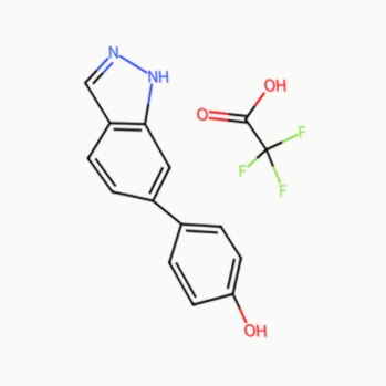 O=C(O)C(F)(F)F.Oc1ccc(-c2ccc3cn[nH]c3c2)cc1